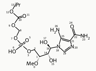 CO[C@H](COP(=O)(O)OCOC(=O)OC(C)C)[C@@H](O)[C@@H](O)n1cnc(C(N)=O)c1N